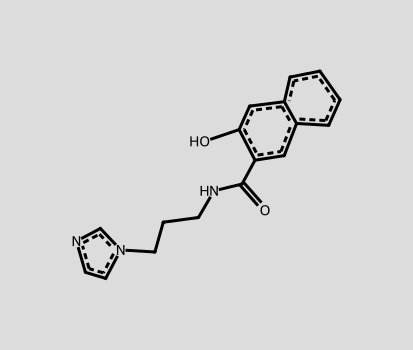 O=C(NCCCn1ccnc1)c1cc2ccccc2cc1O